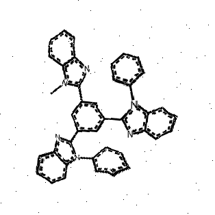 Cn1c(-c2cc(-c3nc4ccccc4n3-c3ccccc3)cc(-c3nc4ccccc4n3-c3ccccc3)c2)nc2ccccc21